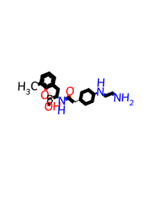 Cc1cccc2c1OB(O)[C@@H](NC(=O)C[C@H]1CC[C@H](NCCN)CC1)C2